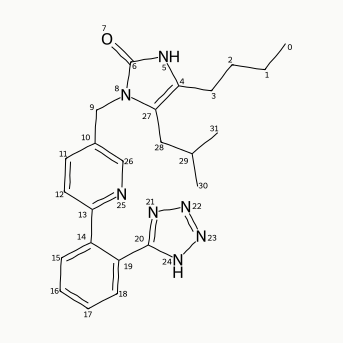 CCCCc1[nH]c(=O)n(Cc2ccc(-c3ccccc3-c3nnn[nH]3)nc2)c1CC(C)C